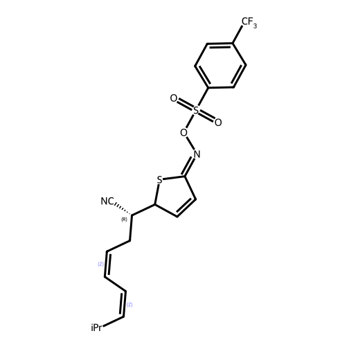 CC(C)/C=C\C=C/C[C@H](C#N)C1C=CC(=NOS(=O)(=O)c2ccc(C(F)(F)F)cc2)S1